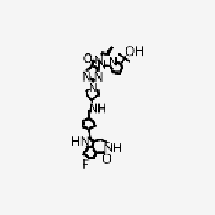 C=CCn1c(=O)c2cnc(N3CCC(NCc4ccc(-c5[nH]c6cc(F)cc7c6c5CCNC7=O)cc4)CC3)nc2n1-c1cccc(C(C)(C)O)n1